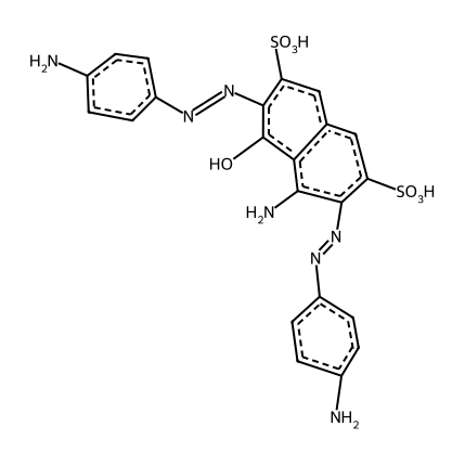 Nc1ccc(N=Nc2c(S(=O)(=O)O)cc3cc(S(=O)(=O)O)c(N=Nc4ccc(N)cc4)c(O)c3c2N)cc1